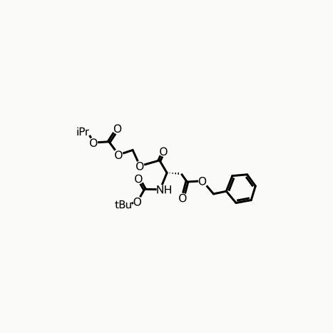 CC(C)OC(=O)OCOC(=O)[C@H](CC(=O)OCc1ccccc1)NC(=O)OC(C)(C)C